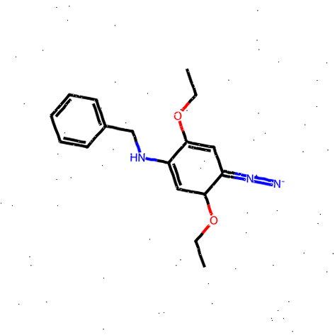 CCOC1=CC(=[N+]=[N-])C(OCC)C=C1NCc1ccccc1